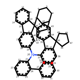 CCC1CC2CCCC(C2)C12c1ccccc1-c1ccc(N(c3ccccc3-c3ccccc3)c3cccc4c3-c3ccccc3C43CCCC3)cc12